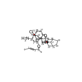 CC#CC(C)Oc1cc(N)c(Cl)cc1C(=O)NC1C2CCC1CN(Cc1ccccc1)C2